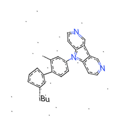 CCC(C)c1cccc(-c2ccc(-n3c4ccncc4c4cnccc43)cc2C)c1